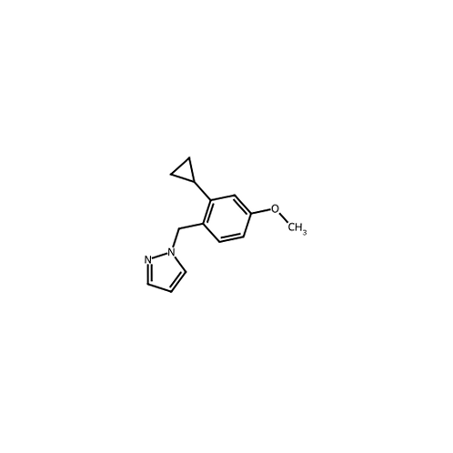 COc1ccc(Cn2cccn2)c(C2CC2)c1